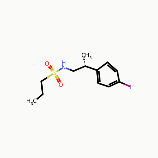 CCCS(=O)(=O)NC[C@H](C)c1ccc(I)cc1